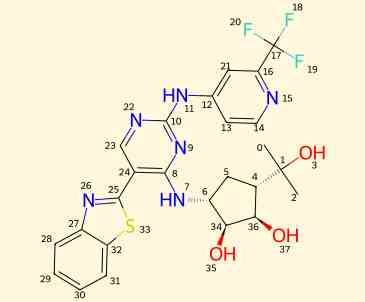 CC(C)(O)[C@H]1C[C@@H](Nc2nc(Nc3ccnc(C(F)(F)F)c3)ncc2-c2nc3ccccc3s2)[C@H](O)[C@@H]1O